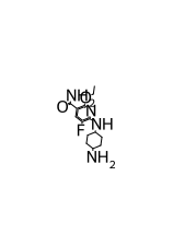 CCOc1nc(N[C@H]2CC[C@H](N)CC2)c(F)cc1C(N)=O